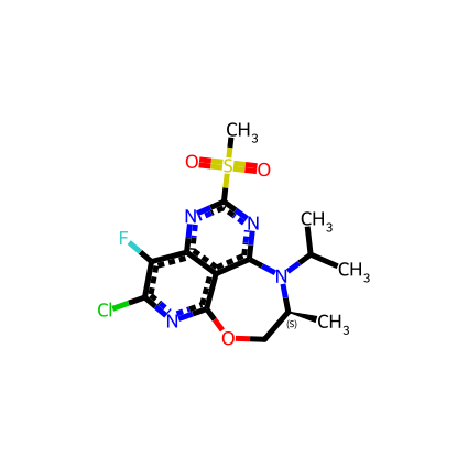 CC(C)N1c2nc(S(C)(=O)=O)nc3c(F)c(Cl)nc(c23)OC[C@@H]1C